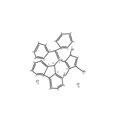 CC(C)C1=CC(C(C)C)[C]([Zr+2](=[C](c2ccccc2)c2ccccc2)[CH]2c3ccccc3-c3ccccc32)=C1C(C)C.[Cl-].[Cl-]